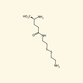 NCCSSCCNC(=O)CC[C@H](N)C(=O)O